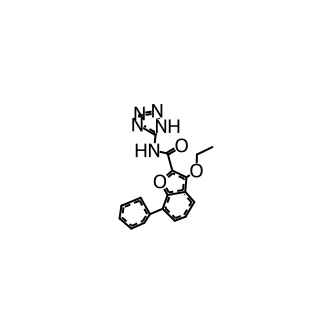 CCOc1c(C(=O)Nc2nnn[nH]2)oc2c(-c3ccccc3)cccc12